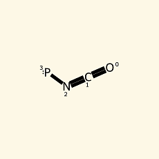 O=C=N[P]